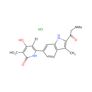 CCc1c(-c2ccc3c(C)c(C(=O)CNC)[nH]c3c2)[nH]c(=O)c(C(=O)O)c1O.Cl